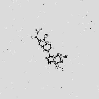 CC(C1CC1)N1Cc2cc(-c3cnc4c(N)nc(Br)cn34)ccc2C1=O